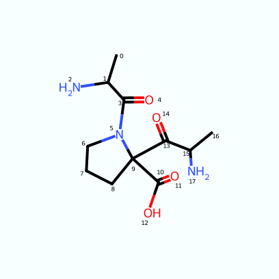 CC(N)C(=O)N1CCCC1(C(=O)O)C(=O)C(C)N